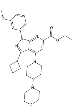 CCOC(=O)c1cc(N2CCC(N3CCOCC3)CC2)c2c(C3CCC3)nn(-c3cccc(OC)c3)c2n1